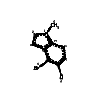 Cn1ncc2c(Br)c(Cl)ccc21